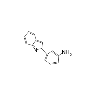 Nc1cccc(C2C=c3ccccc3=N2)c1